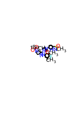 Cc1cc(-n2nc3c(c2-n2ccn(-c4ccc(CS(C)(=N)=O)cc4)c2=O)[C@H](C)N(C(=O)OC(C)(C)C)CC3)cc(C)c1F